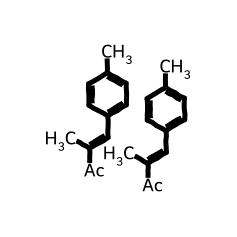 CC(=O)C(C)=Cc1ccc(C)cc1.CC(=O)C(C)=Cc1ccc(C)cc1